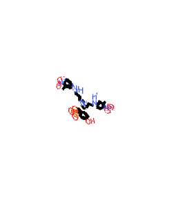 CC[N+](C)(CCCNc1ccc([N+](=O)[O-])c(C)c1)CCCNc1ccc([N+](=O)[O-])c(C)c1.Cc1ccc(O)cc1S(=O)(=O)[O-]